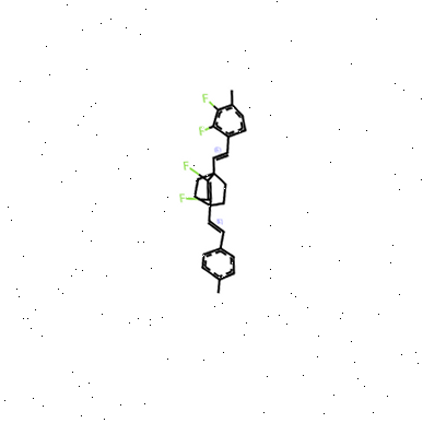 Cc1ccc(/C=C/C23CCC(/C=C/c4ccc(C)c(F)c4F)(CC2)C(F)=C3F)cc1